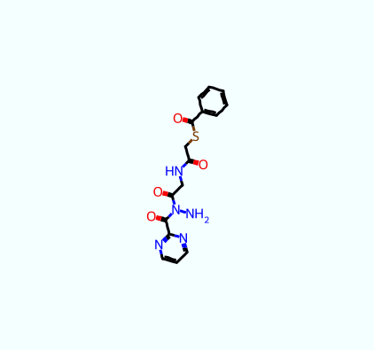 NN(C(=O)CNC(=O)CSC(=O)c1ccccc1)C(=O)c1ncccn1